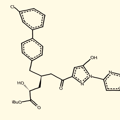 CC(C)COC(=O)[C@H](O)C[C@H](CC(=O)c1cc(O)n(-c2ccccn2)n1)Cc1ccc(-c2cccc(Cl)c2)cc1